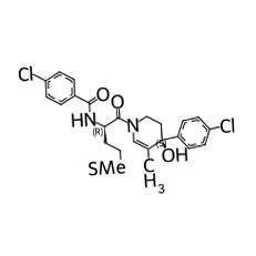 CSCC[C@@H](NC(=O)c1ccc(Cl)cc1)C(=O)N1C=C(C)[C@@](O)(c2ccc(Cl)cc2)CC1